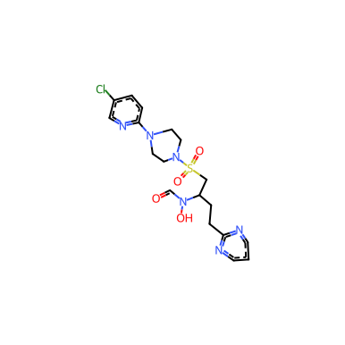 O=CN(O)C(CCc1ncccn1)CS(=O)(=O)N1CCN(c2ccc(Cl)cn2)CC1